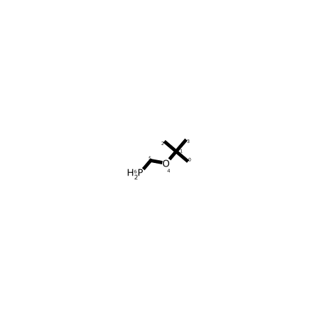 CC(C)(C)OCP